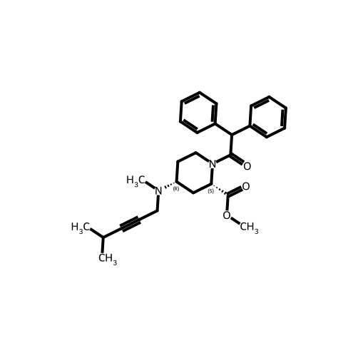 COC(=O)[C@@H]1C[C@H](N(C)CC#CC(C)C)CCN1C(=O)C(c1ccccc1)c1ccccc1